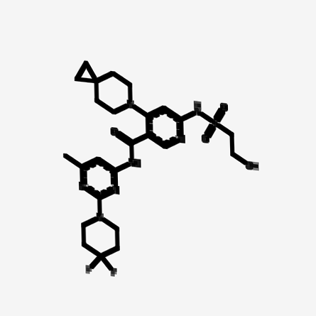 Cc1cc(NC(=O)c2cnc(NS(=O)(=O)CCO)cc2N2CCC3(CC2)CC3)nc(N2CCC(F)(F)CC2)n1